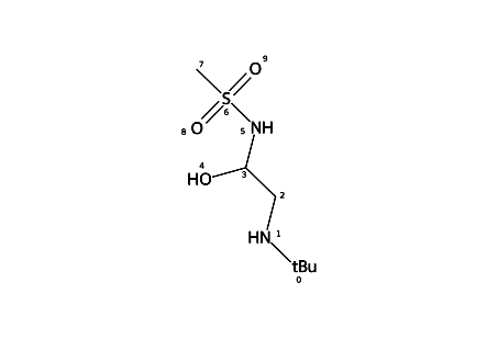 CC(C)(C)NCC(O)NS(C)(=O)=O